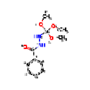 CO[Si](NNC(=O)c1ccccc1)(OC)OC